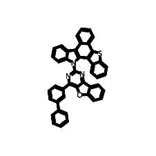 c1ccc(-c2cccc(-c3nc(-n4c5ccccc5c5c6ccccc6c6sc7ccccc7c6c54)nc4c3oc3ccccc34)c2)cc1